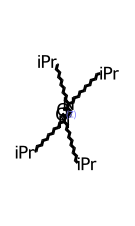 CC(C)CCCCCCCCCCN(CCCCCCCCCCC(C)C)C(=O)/C=C\C(=O)N(CCCCCCCCCCC(C)C)CCCCCCCCCCC(C)C